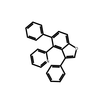 [c]1oc2ccc(-c3ccccc3)c(-c3ccccn3)c2c1-c1ccccc1